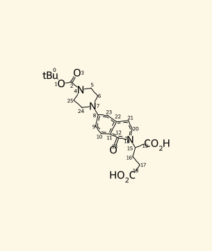 CC(C)(C)OC(=O)N1CCN(c2ccc3c(=O)n(C(CCC(=O)O)C(=O)O)ccc3c2)CC1